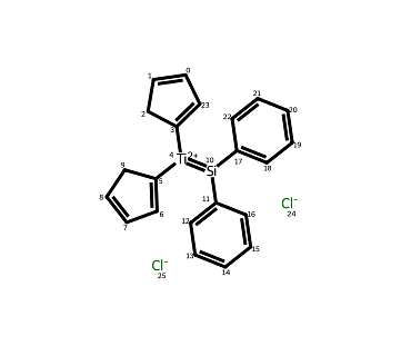 C1=CC[C]([Ti+2]([C]2=CC=CC2)=[Si](c2ccccc2)c2ccccc2)=C1.[Cl-].[Cl-]